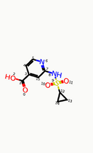 O=C(O)c1ccnc(NS(=O)(=O)C2CC2)c1